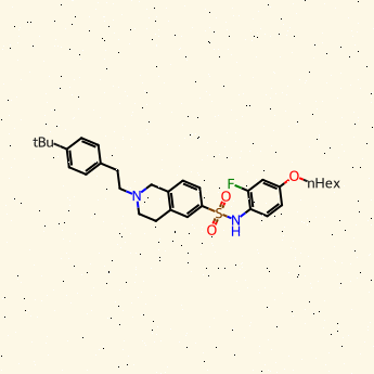 CCCCCCOc1ccc(NS(=O)(=O)c2ccc3c(c2)CCN(CCc2ccc(C(C)(C)C)cc2)C3)c(F)c1